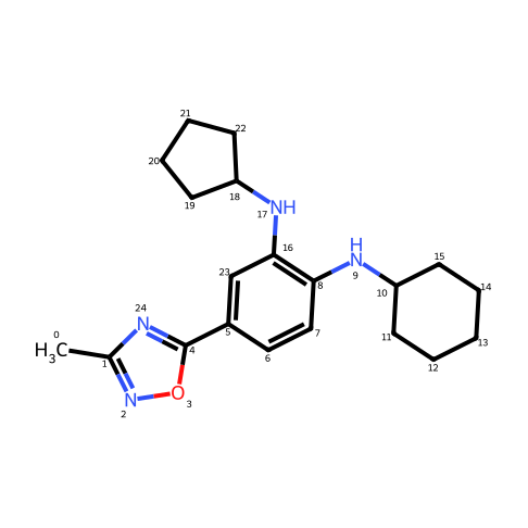 Cc1noc(-c2ccc(NC3CCCCC3)c(NC3CCCC3)c2)n1